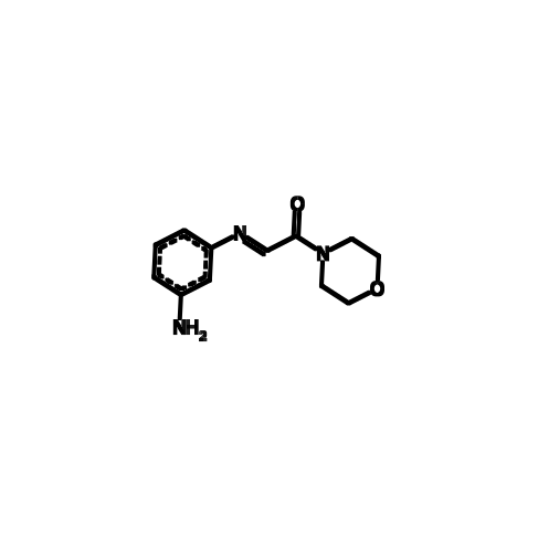 Nc1cccc(N=CC(=O)N2CCOCC2)c1